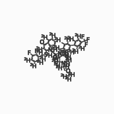 [2H]c1c([2H])c(F)c(F)c(C([2H])([2H])Sc2c([2H])c(=O)c3c([2H])c([2H])c([2H])c([2H])c3n2C([2H])([2H])C(=O)N(Cc2c([2H])c([2H])c(-c3c([2H])c([2H])c(C(F)(F)F)c([2H])c3[2H])c([2H])c2C)C2([2H])C([2H])([2H])C([2H])([2H])N(C([2H])([2H])COC([2H])([2H])[2H])C([2H])([2H])C2([2H])[2H])c1[2H]